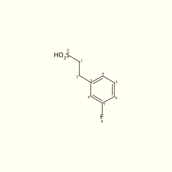 O=S(=O)(O)CCc1cccc(F)c1